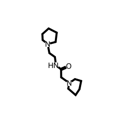 O=C(CN1CCCCC1)NCCN1CCCCC1